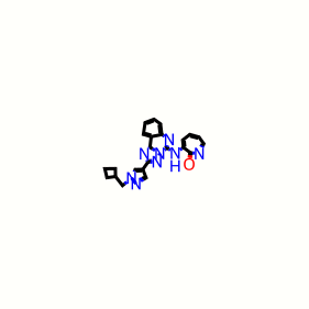 O=c1nccccc1Nc1nc2ccccc2c2nc(-c3cnn(CC4CCC4)c3)nn12